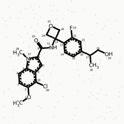 COc1ccc2c(cc(C(=O)NC3(c4ccc(C(C)CO)cc4F)COC3)n2C)c1Cl